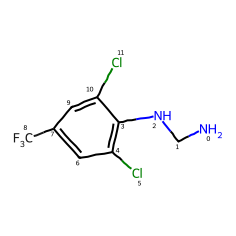 NCNc1c(Cl)cc(C(F)(F)F)cc1Cl